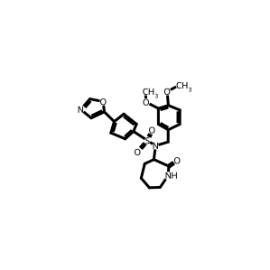 COc1ccc(CN(C2CCCCNC2=O)S(=O)(=O)c2ccc(-c3cnco3)cc2)cc1OC